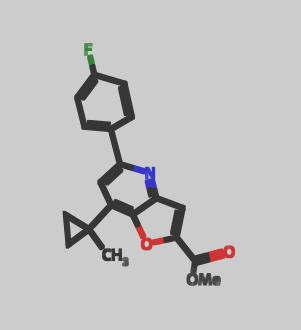 COC(=O)c1cc2nc(-c3ccc(F)cc3)cc(C3(C)CC3)c2o1